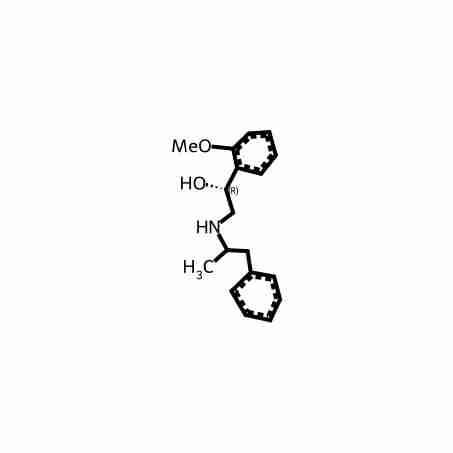 COc1ccccc1[C@@H](O)CNC(C)Cc1ccccc1